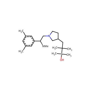 CNC(CN1CCC(CC(C)(C)[Si](C)(C)O)C1)c1cc(C)cc(C)c1